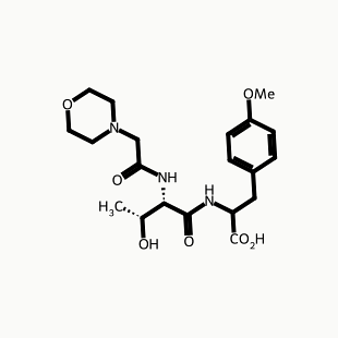 COc1ccc(CC(NC(=O)[C@@H](NC(=O)CN2CCOCC2)[C@@H](C)O)C(=O)O)cc1